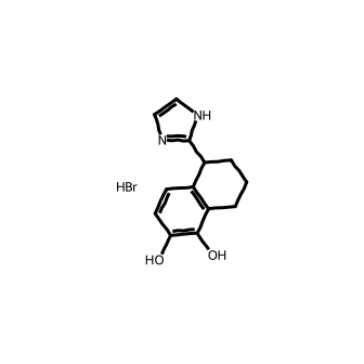 Br.Oc1ccc2c(c1O)CCCC2c1ncc[nH]1